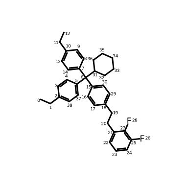 CCc1ccc(C(c2ccc(CC)cc2)(c2ccc(CCc3cccc(F)c3F)cc2)C2CCCCC2)cc1